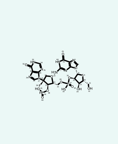 Nc1nc2c(ncn2[C@@H]2S[C@H](CO)[C@@H](O)[C@H]2OP(=O)(S)OC[C@H]2OC[C@@](F)(n3cnc4c(=O)[nH]cnc43)[C@@H]2O[PH](=O)O)c(=O)[nH]1